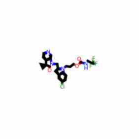 O=C(NCC(F)(F)F)OCCCn1c(CN2C(=O)C3(CC3)c3ccncc32)cc2cc(Cl)ccc21